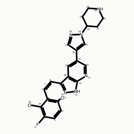 Fc1ccc(Cl)c(/C=C\c2n[nH]c3ncc(-c4cnn(C5CCNCC5)c4)cc23)c1Cl